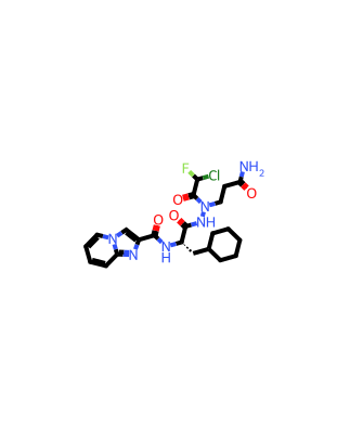 NC(=O)CCN(NC(=O)[C@H](CC1CCCCC1)NC(=O)c1cn2ccccc2n1)C(=O)C(F)Cl